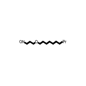 CC(C)CCCCCCCOCCCN=O